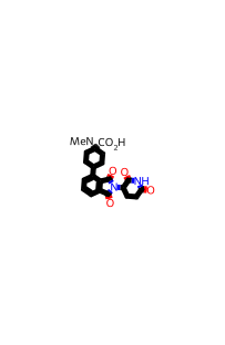 CNC1(C(=O)O)CCC(c2cccc3c2C(=O)N(C2CCC(=O)NC2=O)C3=O)CC1